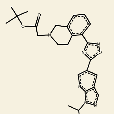 CC(C)n1ncc2cc(-c3nc(-c4cccc5c4CCN(CC(=O)OC(C)(C)C)C5)no3)cnc21